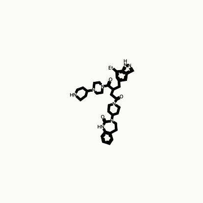 CCc1cc(CC(CC(=O)N2CCC(N3CCc4ccccc4NC3=O)CC2)C(=O)N2CCN(C3CCNCC3)CC2)cc2cn[nH]c12